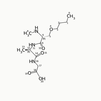 CCCCOC[C@@H](NC)C(=O)N[C@H](C)C(=O)NCC(=O)O